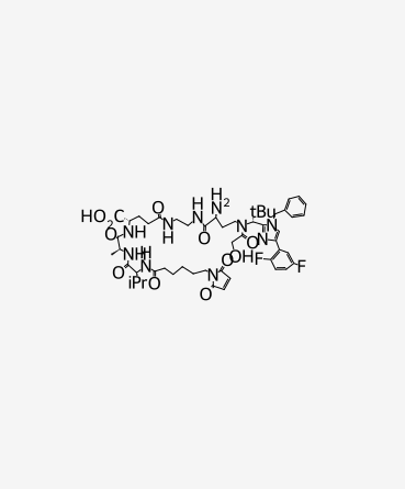 CC(C)[C@H](NC(=O)CCCCCN1C(=O)C=CC1=O)C(=O)N[C@@H](C)C(=O)N[C@@H](CCC(=O)NCCNC(=O)[C@@H](N)CCN(C(=O)CO)[C@@H](c1nc(-c2cc(F)ccc2F)cn1Cc1ccccc1)C(C)(C)C)C(=O)O